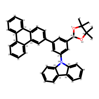 CC1(C)OB(c2cc(-c3ccc4c5ccccc5c5ccccc5c4c3)cc(-n3c4ccccc4c4ccccc43)c2)OC1(C)C